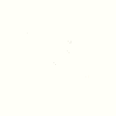 Clc1cccc(Nc2n[nH]c3ccc(Cl)cc23)c1